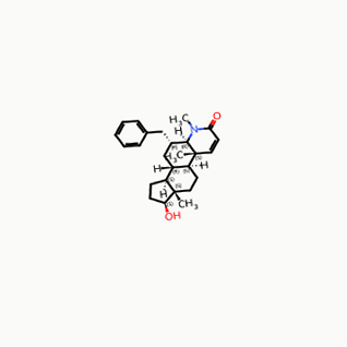 CN1C(=O)C=C[C@]2(C)[C@H]3CC[C@]4(C)[C@@H](O)CC[C@H]4[C@@H]3C[C@H](Cc3ccccc3)[C@@H]12